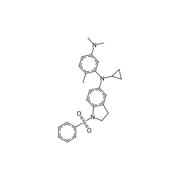 [CH2]c1ccc(N(C)C)cc1N(c1ccc2c(c1)CCN2S(=O)(=O)c1ccccc1)C1CC1